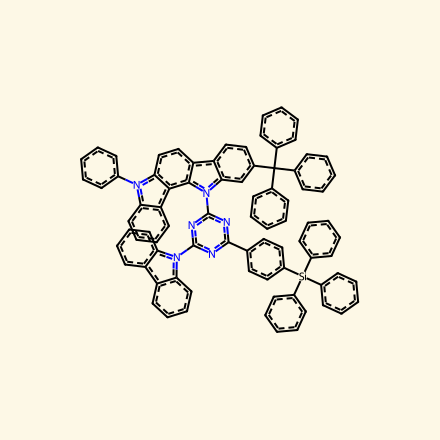 c1ccc(-n2c3ccccc3c3c2ccc2c4ccc(C(c5ccccc5)(c5ccccc5)c5ccccc5)cc4n(-c4nc(-c5ccc([Si](c6ccccc6)(c6ccccc6)c6ccccc6)cc5)nc(-n5c6ccccc6c6ccccc65)n4)c23)cc1